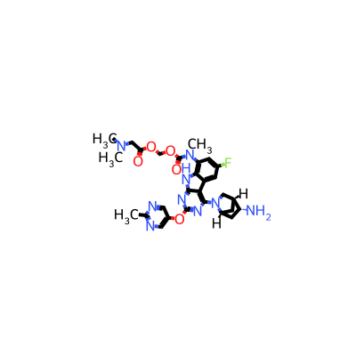 Cc1ncc(Oc2nc(N3C[C@H]4C[C@@H]3C[C@H]4N)c3c(n2)[nH]c2c(N(C)C(=O)OCOC(=O)CN(C)C)cc(F)cc23)cn1